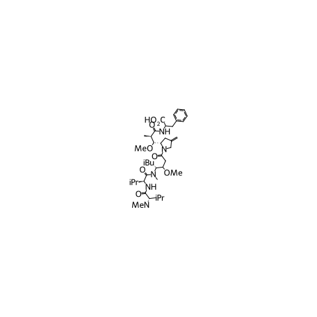 C=C1C[C@@H](C(OC)[C@@H](C)C(=O)NC(Cc2ccccc2)C(=O)O)N(C(=O)CC(OC)C([C@@H](C)CC)N(C)C(=O)[C@@H](NC(=O)[C@@H](NC)C(C)C)C(C)C)C1